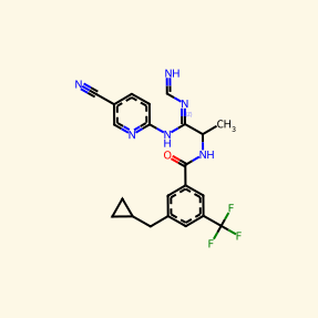 CC(NC(=O)c1cc(CC2CC2)cc(C(F)(F)F)c1)/C(=N/C=N)Nc1ccc(C#N)cn1